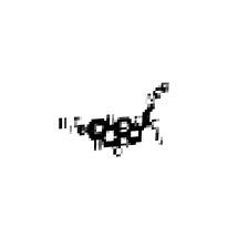 CO[C@@H]1CC[C@@]2(C)[C@H](CC(=O)[C@@H]3[C@@H]2CC[C@]2(C)[C@@H]([C@H](C)CCN=C=O)CC[C@@H]32)C1